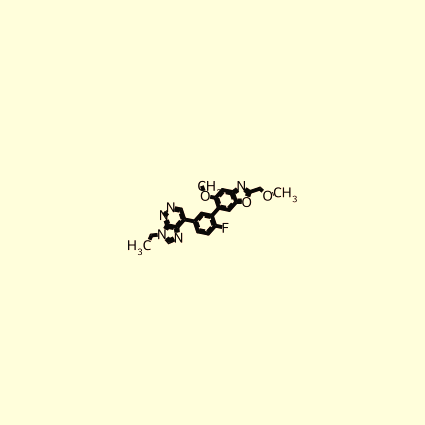 CCn1cnc2c(-c3ccc(F)c(-c4cc5oc(COC)nc5cc4OC)c3)cnnc21